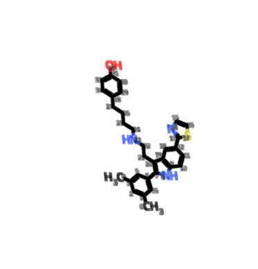 Cc1cc(C)cc(-c2[nH]c3ccc(-c4nccs4)cc3c2CCNCCCCc2ccc(O)cc2)c1